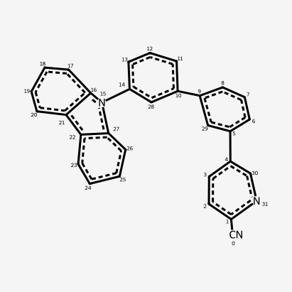 N#Cc1ccc(-c2cccc(-c3cccc(-n4c5ccccc5c5ccccc54)c3)c2)cn1